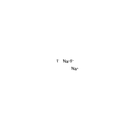 [F-].[I-].[Na+].[Na+]